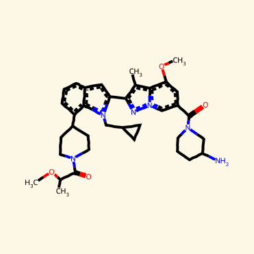 COc1cc(C(=O)N2CCCC(N)C2)cn2nc(-c3cc4cccc(C5CCN(C(=O)C(C)OC)CC5)c4n3CC3CC3)c(C)c12